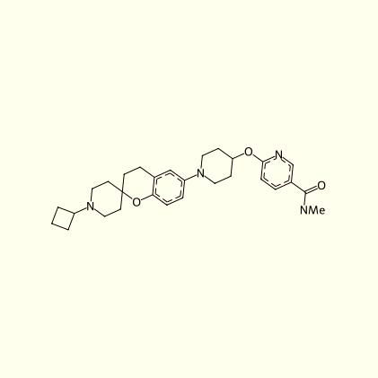 CNC(=O)c1ccc(OC2CCN(c3ccc4c(c3)CCC3(CCN(C5CCC5)CC3)O4)CC2)nc1